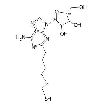 Nc1nc(CCCCCCS)nc2c1ncn2[C@@H]1O[C@H](CO)C(O)C1O